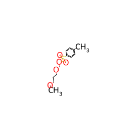 COCCCOCOS(=O)(=O)c1ccc(C)cc1